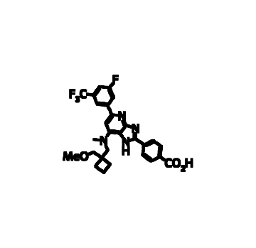 COCC1(CN(C)c2cc(-c3cc(F)cc(C(F)(F)F)c3)nc3nc(-c4ccc(C(=O)O)cc4)[nH]c23)CCC1